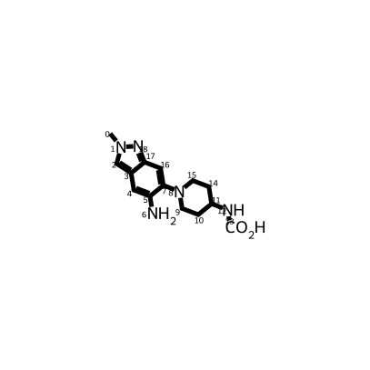 Cn1cc2cc(N)c(N3CCC(NC(=O)O)CC3)cc2n1